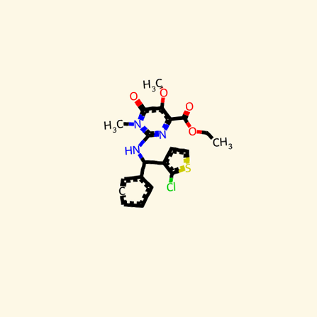 CCOC(=O)c1nc(NC(c2ccccc2)c2ccsc2Cl)n(C)c(=O)c1OC